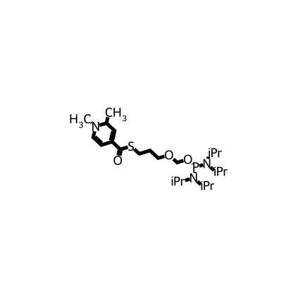 CC1C=C(C(=O)SCCCOCOP(N(C(C)C)C(C)C)N(C(C)C)C(C)C)C=CN1C